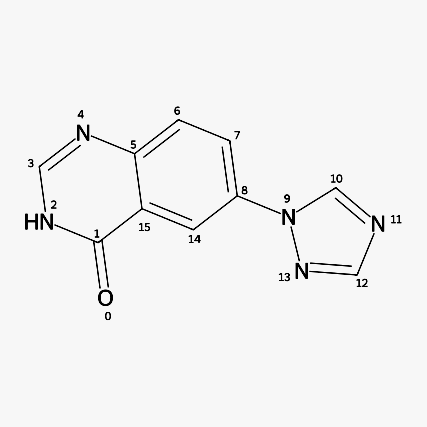 O=c1[nH]cnc2ccc(-n3cncn3)cc12